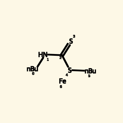 CCCCNC(=S)SCCCC.[Fe]